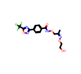 C/C(CONC(=O)c1ccc(-c2noc(C(F)(F)F)n2)cc1)=N/OCCO